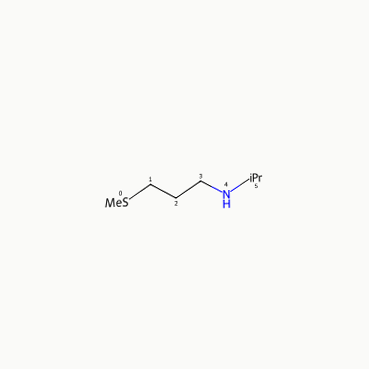 CSCCCNC(C)C